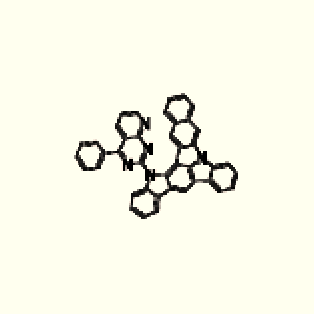 c1ccc(-c2nc(-n3c4ccccc4c4cc5c6ccccc6n6c7cc8ccccc8cc7c(c43)c56)nc3ncccc23)cc1